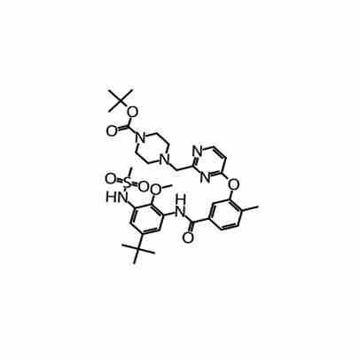 COc1c(NC(=O)c2ccc(C)c(Oc3ccnc(CN4CCN(C(=O)OC(C)(C)C)CC4)n3)c2)cc(C(C)(C)C)cc1NS(C)(=O)=O